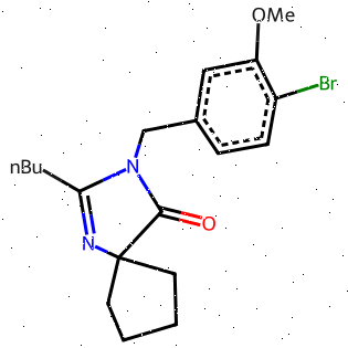 CCCCC1=NC2(CCCC2)C(=O)N1Cc1ccc(Br)c(OC)c1